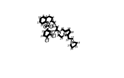 O=C(COCC1CCc2ccccc2N1S(=O)(=O)c1ccc(Cl)c(Cl)c1)N1CCn2c(CCN3CCCC3)ccc2C1